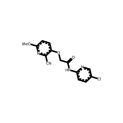 COc1ccc(OCC(=O)Nc2ccc(Cl)cn2)c(C#N)n1